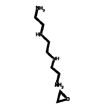 C1CO1.NCCNCCNCCN